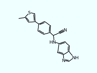 Cc1cc(-c2ccc(C(C#N)Nc3ccc4[nH]cnc4c3)cc2)cs1